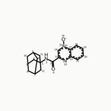 O=C(NC12CC3CC(CC(C3)C1)C2)c1c[n+]([O-])c2ccccc2n1